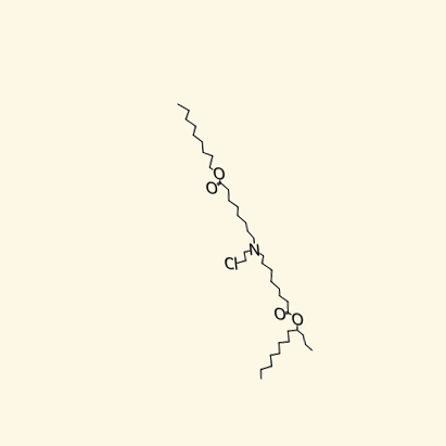 CCCCCCCCCOC(=O)CCCCCCCN(CCCl)CCCCCCCC(=O)OC(CCC)CCCCCCCC